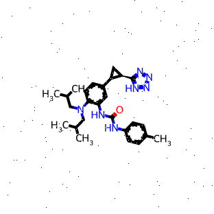 Cc1ccc(NC(=O)Nc2cc(C3C[C@H]3c3nnn[nH]3)ccc2N(CC(C)C)CC(C)C)cc1